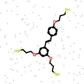 SCCCOc1ccc(/C=C/c2cc(OCCCS)cc(OCCCS)c2)cc1